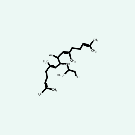 CC(=O)C(/C=C(\C)CCC=C(C)C)C(/C=C(\C)CCC=C(C)C)NC(CS)C(=O)O